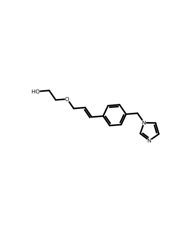 OCCOC/C=C/c1ccc(Cn2ccnc2)cc1